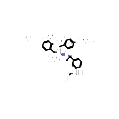 COc1ccc(CN(Cc2ccc(OC)cc2OC)/C(=N/[C@@](C)(CC(C)=O)c2cc(NC(=O)C(F)(F)F)ccc2F)SC)c(OC)c1